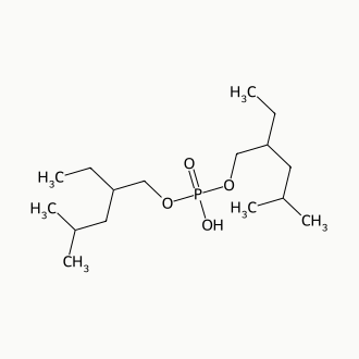 CCC(COP(=O)(O)OCC(CC)CC(C)C)CC(C)C